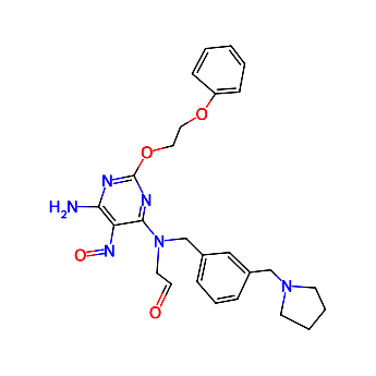 Nc1nc(OCCOc2ccccc2)nc(N(CC=O)Cc2cccc(CN3CCCC3)c2)c1N=O